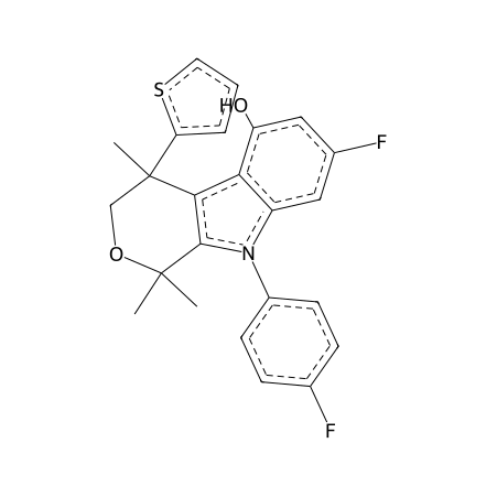 CC1(C)OCC(C)(c2cccs2)c2c1n(-c1ccc(F)cc1)c1cc(F)cc(O)c21